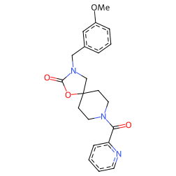 COc1cccc(CN2CC3(CCN(C(=O)c4ccccn4)CC3)OC2=O)c1